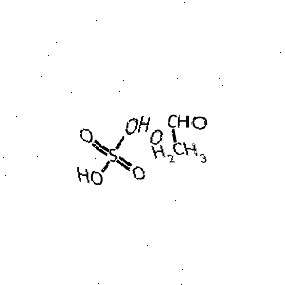 CC=O.O.O=S(=O)(O)O